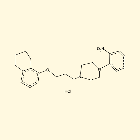 Cl.O=[N+]([O-])c1ccccc1N1CCN(CCCOc2cccc3c2CCCC3)CC1